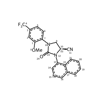 COc1cc(C(F)(F)F)ccc1N1C[C@@H](C#N)N(c2cncc3ccccc23)C1=O